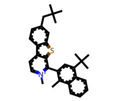 Cc1c(-c2c3sc4cc(CC(C)(C)C)ccc4c3cc[n+]2C)cc(C(C)(C)C)c2ccccc12